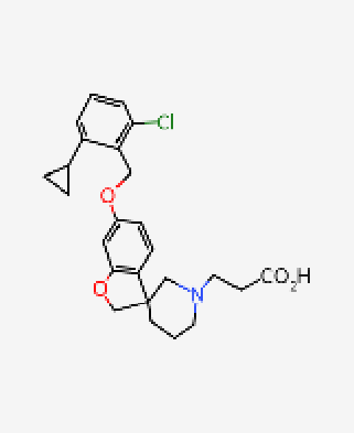 O=C(O)CCN1CCCC2(COc3cc(OCc4c(Cl)cccc4C4CC4)ccc32)C1